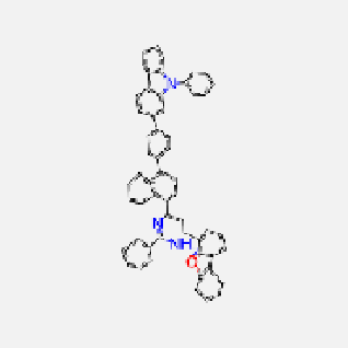 N/C(=N\C(=C/Cc1cccc2c1oc1ccccc12)c1ccc(-c2ccc(-c3ccc4c5ccccc5n(-c5ccccc5)c4c3)cc2)c2ccccc12)c1ccccc1